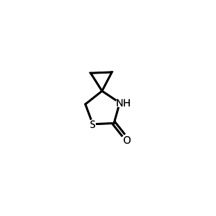 O=C1NC2(CC2)CS1